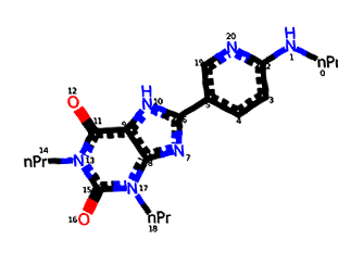 CCCNc1ccc(-c2nc3c([nH]2)c(=O)n(CCC)c(=O)n3CCC)cn1